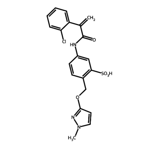 C=C(C(=O)Nc1ccc(COc2ccn(C)n2)c(S(=O)(=O)O)c1)c1ccccc1Cl